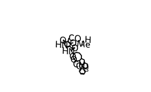 COc1c(C(=O)N[C@@H]2CCCC(Cc3ccccc3)C(COc3ccccc3)[C@H](C)OO2)c[nH]c(=O)c1CC(=O)O